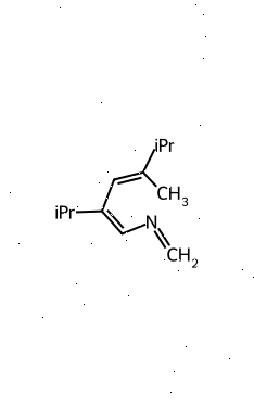 C=N/C=C(\C=C(/C)C(C)C)C(C)C